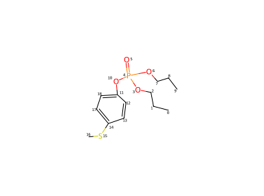 CCCOP(=O)(OCCC)Oc1ccc(SC)cc1